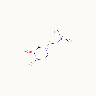 CN(C)CCN1CCN(C)C(=O)C1